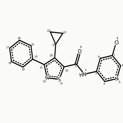 O=C(Nc1cncc(Cl)c1)c1snc(-c2ccccc2)c1C1CC1